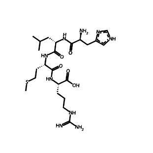 CSCC[C@H](NC(=O)[C@H](CC(C)C)NC(=O)[C@@H](N)Cc1c[nH]cn1)C(=O)N[C@@H](CCCNC(=N)N)C(=O)O